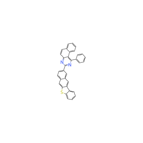 c1ccc(-c2nc(-c3ccc4cc5sc6ccccc6c5cc4c3)nc3ccc4ccccc4c23)cc1